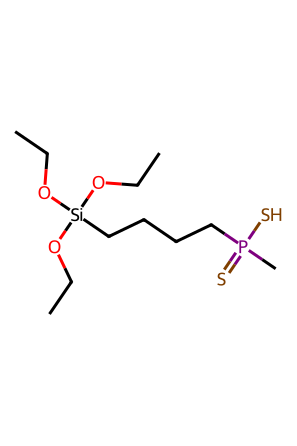 CCO[Si](CCCCP(C)(=S)S)(OCC)OCC